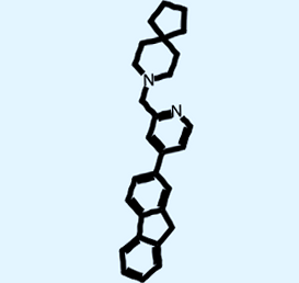 c1ccc2c(c1)Cc1cc(-c3ccnc(CN4CCC5(CCCC5)CC4)c3)ccc1-2